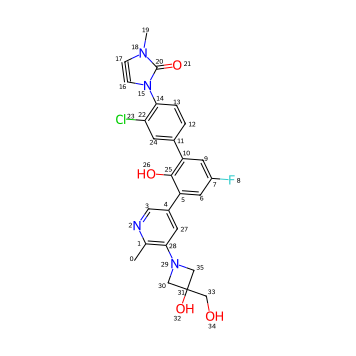 Cc1ncc(-c2cc(F)cc(-c3ccc(-n4c#cn(C)c4=O)c(Cl)c3)c2O)cc1N1CC(O)(CO)C1